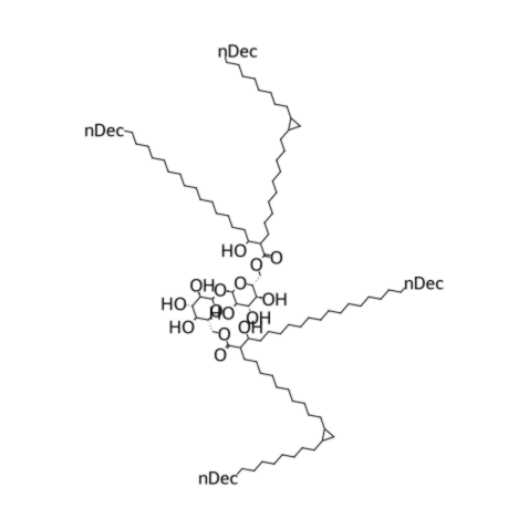 CCCCCCCCCCCCCCCCCCCCCCCCCC(O)C(CCCCCCCCCCC1CC1CCCCCCCCCCCCCCCCCC)C(=O)OC[C@H]1O[C@H](O[C@H]2O[C@H](COC(=O)C(CCCCCCCCCCC3CC3CCCCCCCCCCCCCCCCCC)C(O)CCCCCCCCCCCCCCCCCCCCCCCCC)[C@@H](O)[C@H](O)[C@H]2O)[C@H](O)[C@@H](O)[C@@H]1O